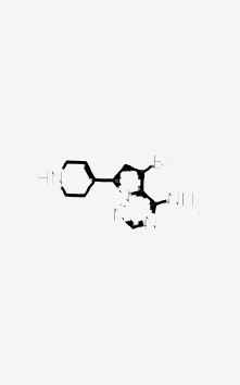 Nc1ncnn2c(C3=CCNCC3)cc(Br)c12